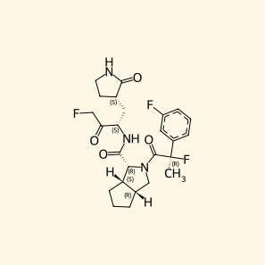 C[C@](F)(C(=O)N1C[C@@H]2CCC[C@@H]2[C@@H]1C(=O)N[C@@H](C[C@@H]1CCNC1=O)C(=O)CF)c1cccc(F)c1